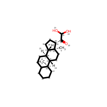 C[C@]12CC[C@H]3[C@@H](CCC4CCCC[C@@]43C)[C@@H]1CC[C@@H]2C(=O)C(O)O